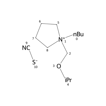 CCCC[N+]1(COC(C)C)CCCC1.N#C[S-]